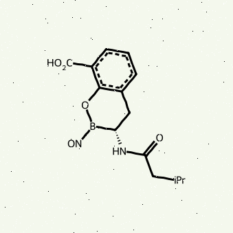 CC(C)CC(=O)N[C@H]1Cc2cccc(C(=O)O)c2OB1N=O